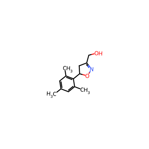 Cc1cc(C)c(C2CC(CO)=NO2)c(C)c1